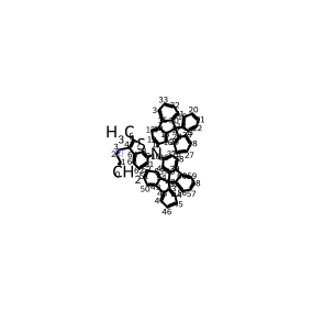 C=C/C=C\c1c(C)sc2c(N(c3ccc4c(c3)C(c3ccccc3)(c3ccccc3)c3ccccc3-4)c3ccc4c(c3)C3(c5ccccc5-c5ccccc53)c3ccccc3-4)cccc12